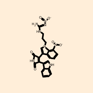 NC(=N[N+](=O)[O-])NCCCn1cc(C2=C(c3c[nH]c4ccccc34)C(=O)NC2=O)c2cccc([N+](=O)[O-])c21